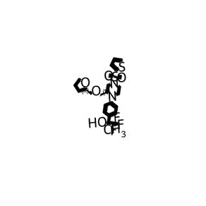 CC(O)(c1ccc(N2CCN(S(=O)(=O)c3cccs3)C[C@@H]2COC[C@H]2CCCO2)cc1)C(F)(F)F